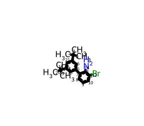 CC(C)(C)c1cc(-c2cccc(Br)c2N)cc(C(C)(C)C)c1